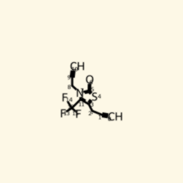 C#C[CH]c1sc(=O)n(CC#C)c1C(F)(F)F